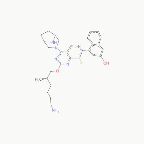 C[C@H](CCCCN)COc1nc(N2CC3CCC(C2)N3)c2cnc(-c3cc(O)cc4ccccc34)c(F)c2n1